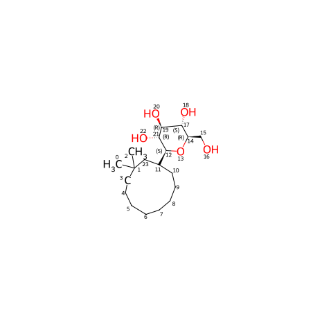 CC1(C)CCCCCCCCC([C@@H]2O[C@H](CO)[C@@H](O)[C@H](O)[C@H]2O)C1